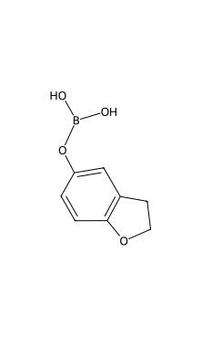 OB(O)Oc1ccc2c(c1)CCO2